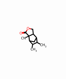 [C-]#[N+]C12C(=O)OCC1C1CC2C(C)C1C